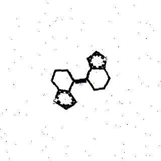 c1cc2c(s1)CCC/C2=C1/CCCc2sccc21